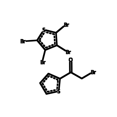 Brc1sc(Br)c(Br)c1Br.O=C(CBr)c1cccs1